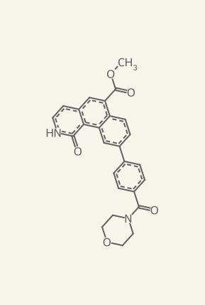 COC(=O)c1cc2cc[nH]c(=O)c2c2cc(-c3ccc(C(=O)N4CCOCC4)cc3)ccc12